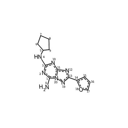 Nc1nc(NC2CCCC2)nc2nc(-c3ccco3)nn12